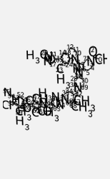 CC(=O)N1CCc2c(c(N3CCCc4cc(-c5cnn(C)c5)c(C)cc43)nn2C2CCN(CC3CCN(c4ncc(C(=O)NC5C(C)(C)C(Oc6ccc(C#N)c(Cl)c6C)C5(C)C)cn4)CC3(C)C)CC2)C1